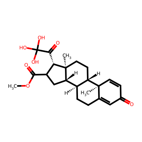 COC(=O)C1C[C@H]2[C@@H]3CCC4=CC(=O)C=C[C@]4(C)[C@H]3CC[C@]2(C)[C@H]1C(=O)C(O)(O)O